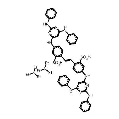 CCN(CC)CC.CCN(CC)CC.O=S(=O)(O)c1cc(Nc2cc(Nc3ccccc3)nc(Nc3ccccc3)n2)ccc1C=Cc1ccc(Nc2cc(Nc3ccccc3)nc(Nc3ccccc3)n2)cc1S(=O)(=O)O